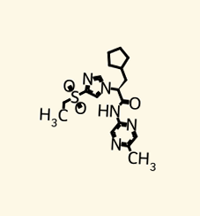 CCS(=O)(=O)c1cn([C@@H](CC2CCCC2)C(=O)Nc2cnc(C)cn2)cn1